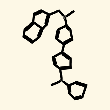 CN(Cc1ccc2ccccc2c1)c1ccc(-c2ccc(N(C)c3ccccc3)cc2)cc1